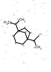 CC(C)C12CCCC(C(C)I)(CC1)C2